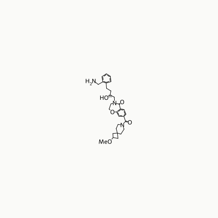 COC1CC2(CCN(C(=O)c3ccc4c(c3)OCCN(C[C@@H](O)CCc3ccccc3CN)C4=O)CC2)C1